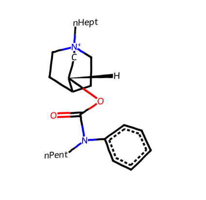 CCCCCCC[N+]12CCC(CC1)[C@@H](OC(=O)N(CCCCC)c1ccccc1)C2